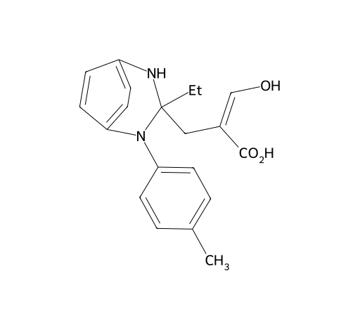 CCC1(CC(=CO)C(=O)O)Nc2ccc(cc2)N1c1ccc(C)cc1